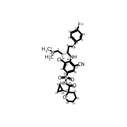 CN(C)CC[C@H](CSc1ccc(F)cc1)Nc1c(Cl)cc(S(=O)(=O)NC(=O)[C@]2(C3CC3)CCCCO2)cc1C#N